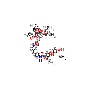 C=CCc1cc(S(=O)(=O)c2ccc(OC(=O)Nc3ccc(Cc4ccc(NC(=O)OCC(COCC(COC(=O)C=C)(COC(=O)C=C)COC(=O)C=C)(COC(=O)C=C)COC(=O)C=C)cc4)cc3)c(CC=C)c2)ccc1O